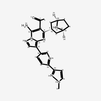 CC(=O)c1c([C@@H]2C[C@H]3CC[C@@H](C2)N3)nc2c(-c3ccc(-c4ccn(C)n4)nc3)cnn2c1N